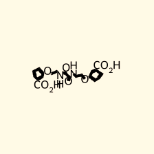 O=C(NCCOc1cccc(C(=O)O)c1)C(=O)NCCOc1cccc(C(=O)O)c1